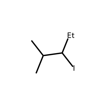 [CH2]CC(I)C(C)C